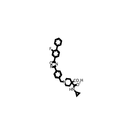 O=C(O)C1(C(=O)NC2CC2)CCN(Cc2ccc(-c3noc(-c4ccc(-c5ccccc5)c(F)c4)n3)cc2)CC1